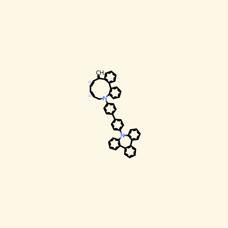 C=C1/C=C\C=C/CN(c2ccc(-c3ccc(N4c5ccccc5-c5ccccc5-c5ccccc54)cc3)cc2)c2ccccc2-c2ccccc21